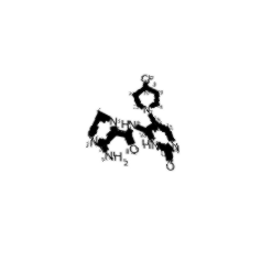 Nc1nccnc1C(=O)Nc1[nH]c(=O)ncc1N1CCC(C(F)(F)F)CC1